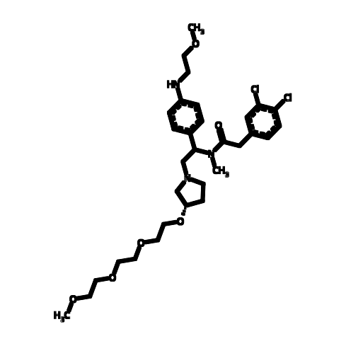 COCCNc1ccc(C(CN2CC[C@H](OCCOCCOCCOC)C2)N(C)C(=O)Cc2ccc(Cl)c(Cl)c2)cc1